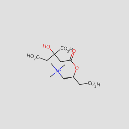 C[N+](C)(C)C[C@H](CC(=O)O)OC(=O)CC(O)(CC(=O)O)C(=O)O